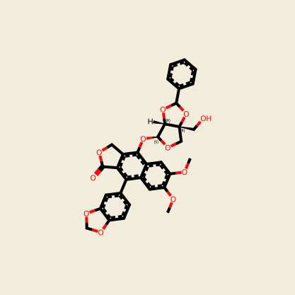 COc1cc2c(O[C@@H]3OC[C@@]4(CO)OC(c5ccccc5)O[C@@H]34)c3c(c(-c4ccc5c(c4)OCO5)c2cc1OC)C(=O)OC3